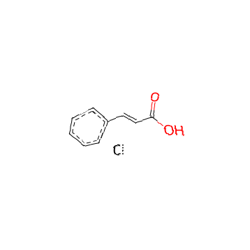 O=C(O)C=Cc1ccccc1.[C]